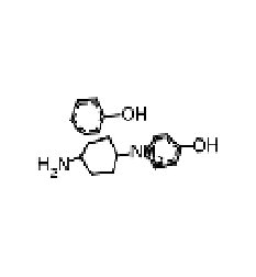 NC1CCC(N)CC1.Oc1ccccc1.Oc1ccccc1